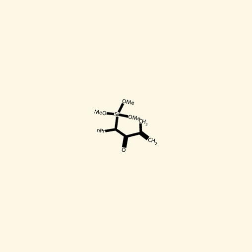 C=C(C)C(=O)C(CCC)[Si](OC)(OC)OC